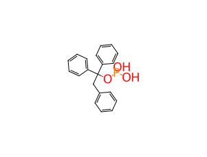 OP(O)OC(Cc1ccccc1)(c1ccccc1)c1ccccc1